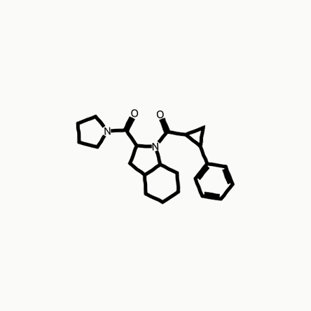 O=C(C1CC2CCCCC2N1C(=O)C1CC1c1ccccc1)N1CCCC1